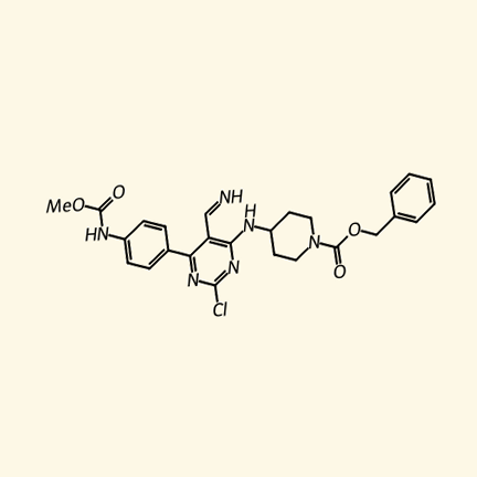 COC(=O)Nc1ccc(-c2nc(Cl)nc(NC3CCN(C(=O)OCc4ccccc4)CC3)c2C=N)cc1